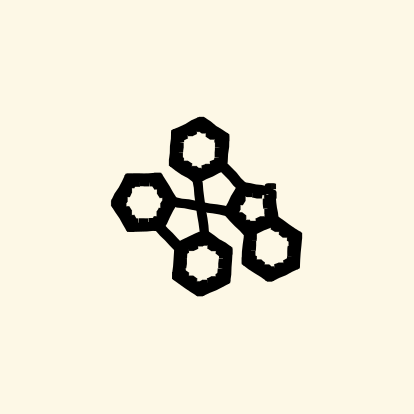 c1ccc2c(c1)-c1ccccc1C21c2ccccc2-c2sc3ccccc3c21